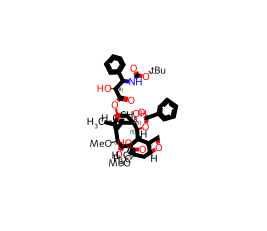 CO[C@H]1C(=O)[C@]2(C)[C@@H](OC)C[C@H]3OC[C@@]3(OC(C)O)[C@H]2[C@H](OC(=O)c2ccccc2)[C@]2(O)C[C@H](OC(=O)[C@H](O)C(NC(=O)OC(C)(C)C)c3ccccc3)C(C)=C1C2(C)C